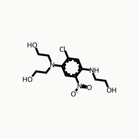 O=[N+]([O-])c1cc(N(CCO)CCO)c(Cl)cc1NCCO